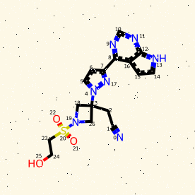 N#CCC1(n2ccc(-c3ncnc4[nH]ccc34)n2)CN(S(=O)(=O)CCO)C1